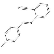 Cc1ccc(C=Nc2ccccc2C#N)cc1